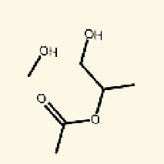 CC(=O)OC(C)CO.CO